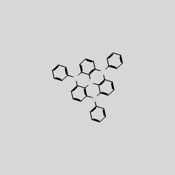 c1ccc(B2c3cccc4c3N3c5c2cccc5B(c2ccccc2)c2cccc(c23)B4c2ccccc2)cc1